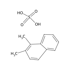 Cc1ccc2ccccc2c1C.O=S(=O)(O)O